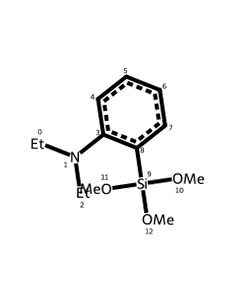 CCN(CC)c1ccccc1[Si](OC)(OC)OC